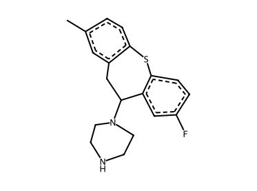 Cc1ccc2c(c1)CC(N1CCNCC1)c1cc(F)ccc1S2